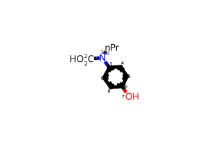 CCCN(C(=O)O)c1ccc(O)cc1